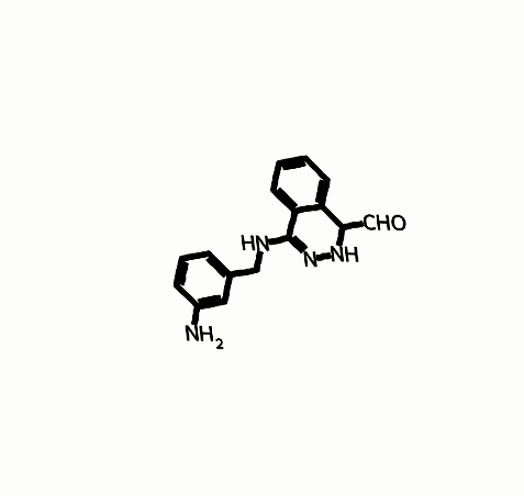 Nc1cccc(CNC2=NNC(C=O)c3ccccc32)c1